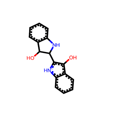 Oc1c(C2Nc3ccccc3C2O)[nH]c2ccccc12